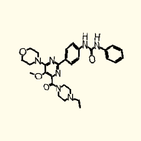 CCN1CCN(C(=O)c2nc(-c3ccc(NC(=O)Nc4ccccc4)cc3)nc(N3CCOCC3)c2OC)CC1